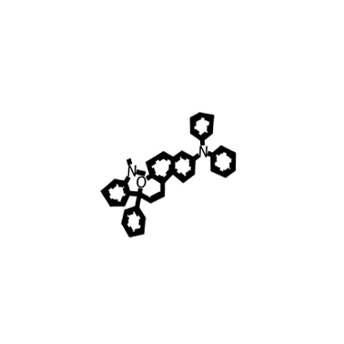 CN(C)c1ccccc1C1(c2ccccc2)C=Cc2c(ccc3cc(N(c4ccccc4)c4ccccc4)ccc23)O1